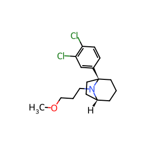 COCCCN1[C@@H]2CCC[C@@]1(c1ccc(Cl)c(Cl)c1)CC2